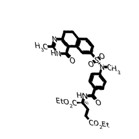 CCOC(=O)CC[C@H](NC(=O)c1ccc(N(C)S(=O)(=O)c2ccc3c(c2)-c2c(nc(C)[nH]c2=O)CC3)cc1)C(=O)OCC